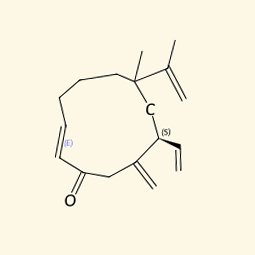 C=C[C@@H]1CC(C)(C(=C)C)CCC/C=C/C(=O)CC1=C